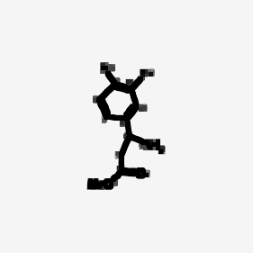 COC(=O)CC(N)c1ccc(F)c(F)c1